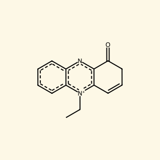 CC[n+]1c2c(nc3ccccc31)C(=O)CC=C2